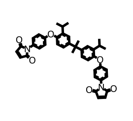 CC(C)c1cc(C(C)(C)c2ccc(Oc3ccc(N4C(=O)C=CC4=O)cc3)c(C(C)C)c2)ccc1Oc1ccc(N2C(=O)C=CC2=O)cc1